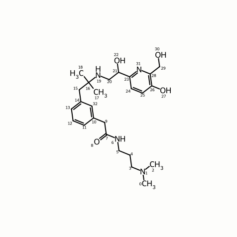 CN(C)CCCNC(=O)Cc1cccc(CC(C)(C)NCC(O)c2ccc(O)c(CO)n2)c1